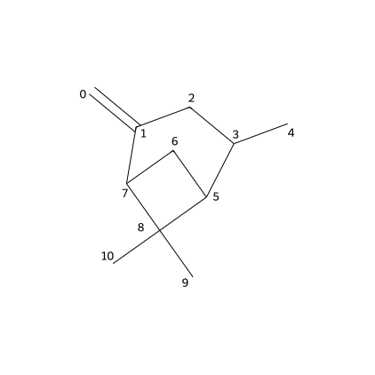 C=C1CC(C)C2CC1C2(C)C